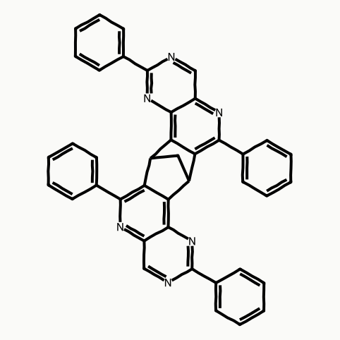 c1ccc(-c2ncc3nc(-c4ccccc4)c4c(c3n2)C2CC4c3c2c(-c2ccccc2)nc2cnc(-c4ccccc4)nc32)cc1